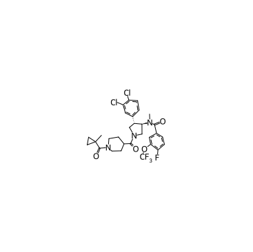 CN(C(=O)c1ccc(F)c(OC(F)(F)F)c1)[C@H]1CN(C(=O)C2CCN(C(=O)C3(C)CC3)CC2)C[C@@H]1c1ccc(Cl)c(Cl)c1